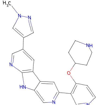 Cn1cc(-c2cnc3[nH]c4cnc(-c5cnccc5OC5CCNCC5)cc4c3c2)cn1